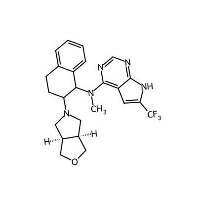 CN(c1ncnc2[nH]c(C(F)(F)F)cc12)C1c2ccccc2CCC1N1C[C@H]2COC[C@H]2C1